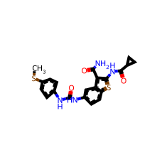 CSc1ccc(NC(=O)Nc2ccc3sc(NC(=O)C4CC4)c(C(N)=O)c3c2)cc1